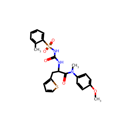 COc1ccc(N(C)C(=O)C(Cc2cccs2)NC(=O)NS(=O)(=O)c2ccccc2C)cc1